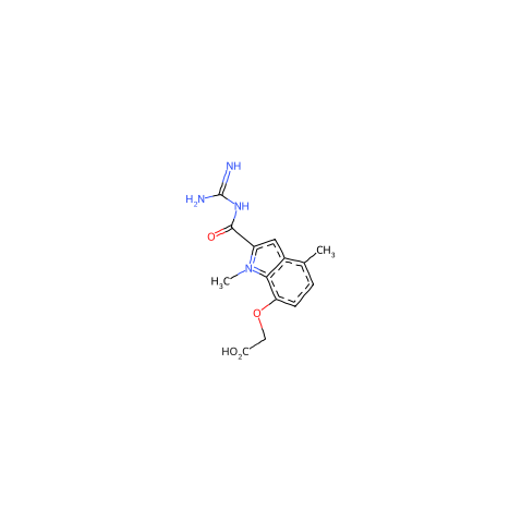 Cc1ccc(OCC(=O)O)c2c1cc(C(=O)NC(=N)N)n2C